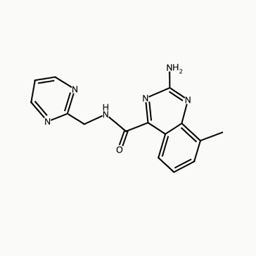 Cc1cccc2c(C(=O)NCc3ncccn3)nc(N)nc12